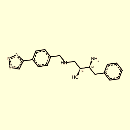 N[C@@H](Cc1ccccc1)[C@@H](O)CNCc1ccc(-c2csnn2)cc1